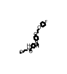 COCCCNC(=O)c1ccc2c(c1)ncn2-c1ccc(OCCCOc2ccc(F)cc2)cc1